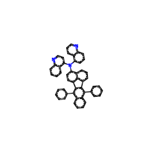 c1ccc(-c2c3c(c(-c4ccccc4)c4ccccc24)-c2ccc(N(c4cccc5ncccc45)c4ccnc5ccccc45)c4cccc-3c24)cc1